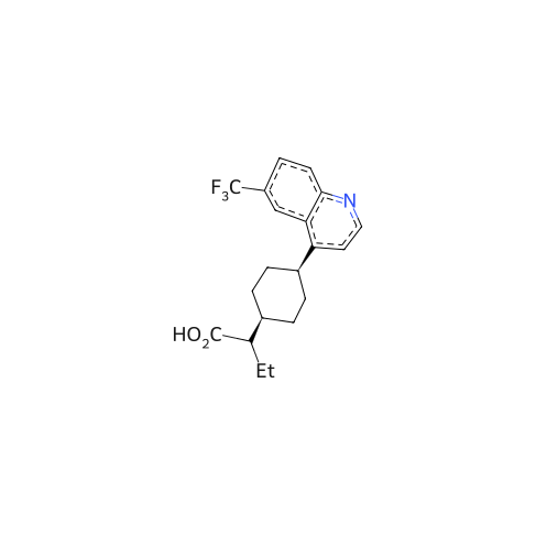 CCC(C(=O)O)[C@H]1CC[C@@H](c2ccnc3ccc(C(F)(F)F)cc32)CC1